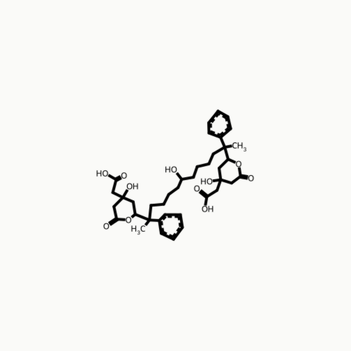 CC(CCCCC(O)CCCCC(C)(c1ccccc1)C1CC(O)(CC(=O)O)CC(=O)O1)(c1ccccc1)C1CC(O)(CC(=O)O)CC(=O)O1